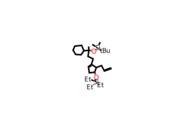 C=CCC1C(CCC(C)(O[Si](C)(C)C(C)(C)C)C2CCCCC2)=CCC1O[Si](CC)(CC)CC